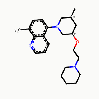 C[C@H]1C[C@@H](OCCN2CCCCC2)CN(c2ccc(C(F)(F)F)c3ncccc23)C1